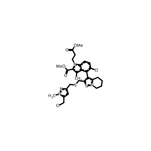 COC(=O)CCn1c(C(=O)OC)c(C)c2c(-c3c(CSCc4cc(CCl)n(C)n4)nn4c3CCCC4)c(Cl)ccc21